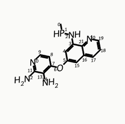 CPNc1cc(Oc2ccnc(N)c2N)cc2cccnc12